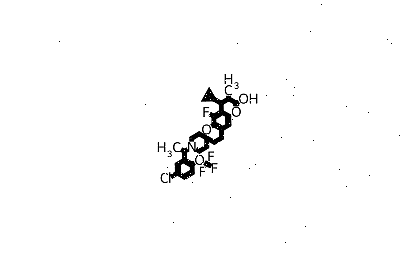 CC(C(=O)O)C(c1ccc2c(c1F)OC1(CC2)CCN(C(C)c2cc(Cl)ccc2OC(F)(F)F)CC1)C1CC1